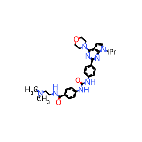 CC(C)n1ccc2c(N3CCOCC3)nc(-c3ccc(NC(=O)Nc4ccc(C(=O)NCCN(C)C)cc4)cc3)nc21